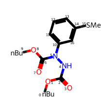 CCCCOC(=O)NN(C(=O)OCCCC)c1cccc(SC)c1